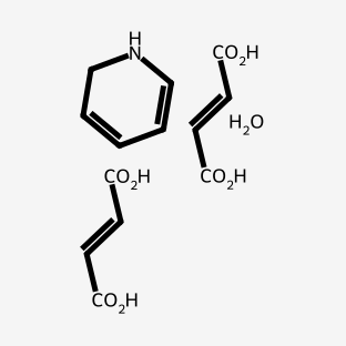 C1=CCNC=C1.O.O=C(O)/C=C/C(=O)O.O=C(O)/C=C/C(=O)O